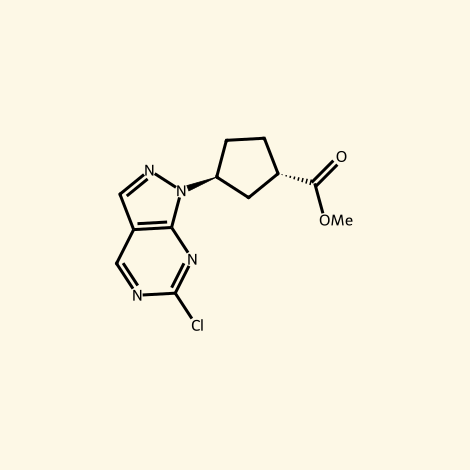 COC(=O)[C@H]1CC[C@H](n2ncc3cnc(Cl)nc32)C1